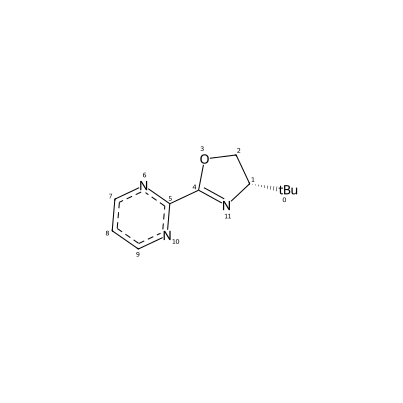 CC(C)(C)[C@H]1COC(c2ncccn2)=N1